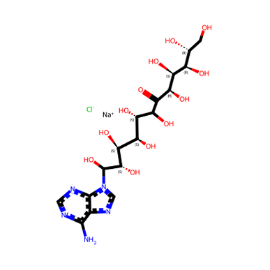 Nc1ncnc2c1ncn2C(O)[C@@H](O)[C@@H](O)[C@H](O)[C@H](O)C(O)C(=O)[C@H](O)[C@@H](O)[C@H](O)[C@H](O)CO.[Cl-].[Na+]